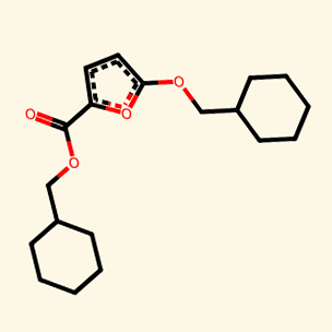 O=C(OCC1CCCCC1)c1ccc(OCC2CCCCC2)o1